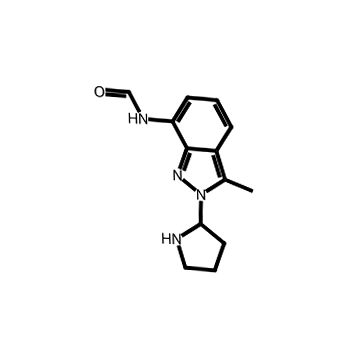 Cc1c2cccc(NC=O)c2nn1C1CCCN1